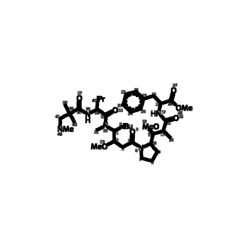 CCC(C)C(C(CC(=O)N1CCCC1C(OC)C(C)C(=O)NC(Cc1ccccc1)C(=O)OC)OC)N(C)C(=O)C(NC(=O)C(C)(C)CNC)C(C)C